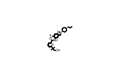 CCC[C@H]1CC[C@H](n2cc3cc(NC(=O)c4cccc(C(C)(C)CO)n4)c(OC)cc3n2)CC1